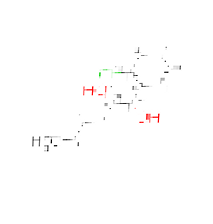 CCCC[C@H](O)[C@@H](O)C1=C(Cl)CCC=C1